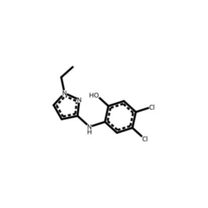 CCn1ccc(Nc2cc(Cl)c(Cl)cc2O)n1